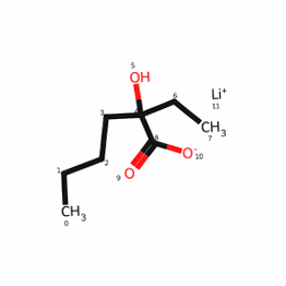 CCCCC(O)(CC)C(=O)[O-].[Li+]